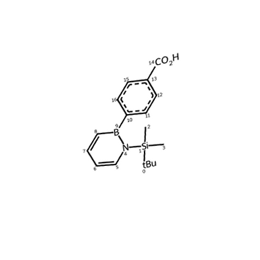 CC(C)(C)[Si](C)(C)N1C=CC=CB1c1ccc(C(=O)O)cc1